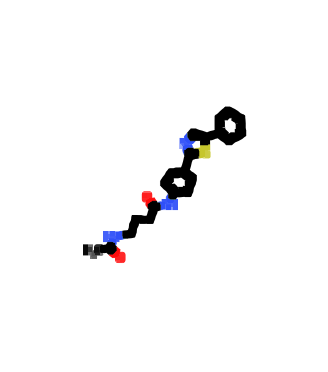 CC(=O)NCCCC(=O)Nc1ccc(-c2ncc(-c3ccccc3)s2)cc1